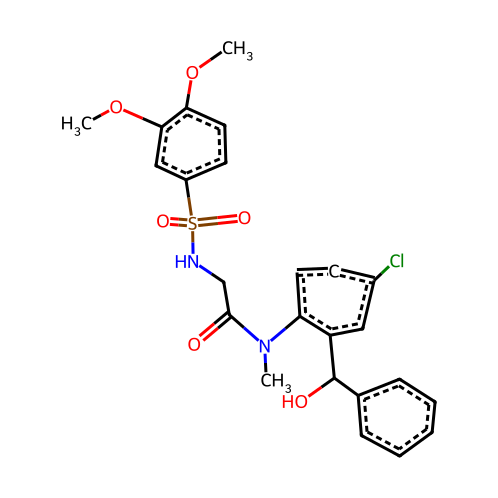 COc1ccc(S(=O)(=O)NCC(=O)N(C)c2ccc(Cl)cc2C(O)c2ccccc2)cc1OC